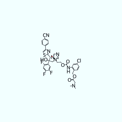 C[C@@H](c1nc(-c2ccc(C#N)cc2)cs1)[C@](O)(C[N+]1(CCOC(=O)Nc2cc(Cl)ccc2COC(=O)CN(C)C)C=NC=N1)c1cc(F)c(F)cc1F